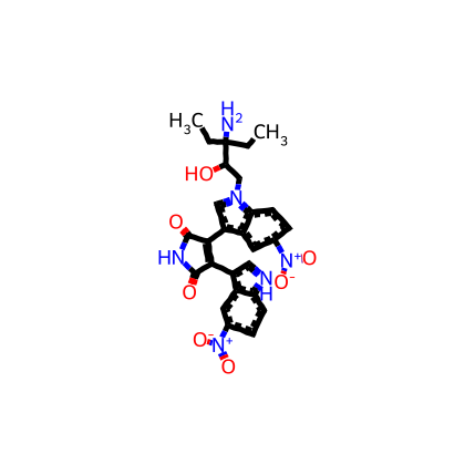 CCC(N)(CC)C(O)Cn1cc(C2=C(c3c[nH]c4ccc([N+](=O)[O-])cc34)C(=O)NC2=O)c2cc([N+](=O)[O-])ccc21